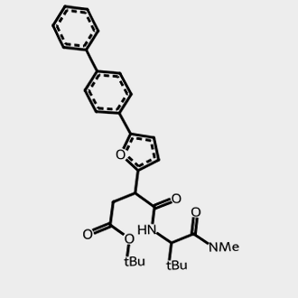 CNC(=O)C(NC(=O)C(CC(=O)OC(C)(C)C)c1ccc(-c2ccc(-c3ccccc3)cc2)o1)C(C)(C)C